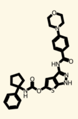 O=C(NC1(c2ccccc2)CCCC1)Oc1cc2c(NC(=O)c3ccc(N4CCOCC4)cc3)n[nH]c2s1